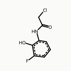 O=C(CCl)Nc1cccc(F)c1O